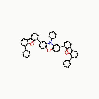 c1ccc(-c2cccc3c2oc2c(-c4ccc5c(c4)N(c4ccccc4)c4cc(-c6cccc7c6oc6c(-c8ccccc8)cccc67)ccc4O5)cccc23)cc1